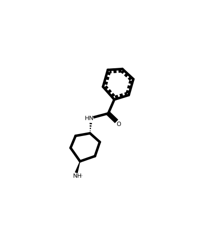 [NH][C@H]1CC[C@H](NC(=O)c2ccccc2)CC1